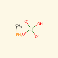 CP.[O-][Cl+3]([O-])([O-])O